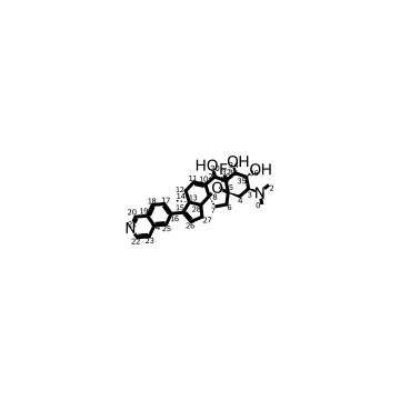 CN(C)[C@H]1C[C@@]23CC[C@@]4(O2)C(=CC[C@]2(C)C(c5ccc6cnccc6c5)=CCC24)C(O)C3(F)[C@@H](O)[C@@H]1O